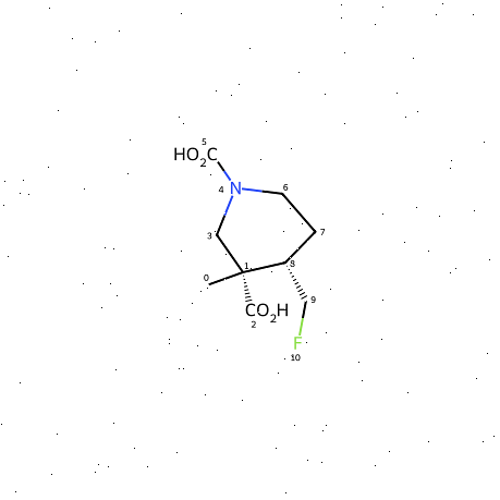 C[C@@]1(C(=O)O)CN(C(=O)O)CC[C@@H]1CF